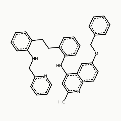 Cc1cc(Nc2ccccc2CCc2ccccc2NCc2ccccn2)c2cc(OCc3ccccc3)ccc2n1